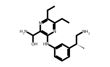 CCc1nc(Nc2cccc([C@@H](C)CN)c2)c(C(N)O)nc1CC